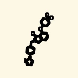 O=C1c2c(cccc2OC2CCS(=O)(=O)CC2)CN1Cc1ccc(-n2cccn2)cc1